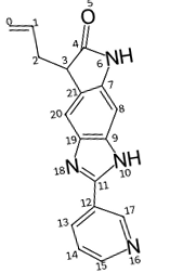 C=CCC1C(=O)Nc2cc3[nH]c(-c4cccnc4)nc3cc21